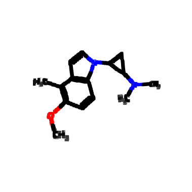 COc1ccc2c(ccn2C2CC2N(C)C)c1C